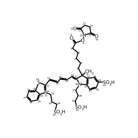 CC1(CCCCCC(=O)ON2C(=O)CCC2=O)/C(=C/C=C/C=C/c2sc3ccccc3[n+]2CCCS(=O)(=O)O)N(CCCS(=O)(=O)O)c2ccc(S(=O)(=O)O)cc21